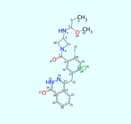 CCC(NC1CN(C(=O)c2cc(Cc3n[nH]c(=O)c4ccccc34)ccc2F)C1)OC.Cl